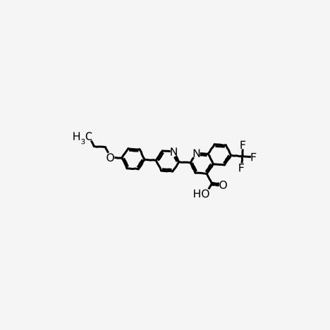 CCCOc1ccc(-c2ccc(-c3cc(C(=O)O)c4cc(C(F)(F)F)ccc4n3)nc2)cc1